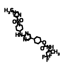 C[C@@H](CC(F)(F)F)NC(=O)O[C@H]1CC[C@@H](c2cnc(NC3CCN(S(=O)(=O)c4cn(C)cn4)CC3)nc2)CC1